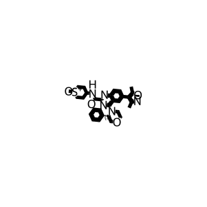 Cc1noc(C)c1-c1ccc2nc(C(=O)NC3CC[S+]([O-])CC3)nc(N3CCOC[C@@H]3c3ccccc3)c2c1